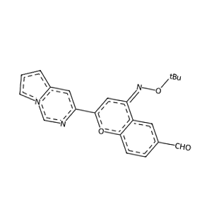 CC(C)(C)O/N=c1/cc(-c2cc3cccn3cn2)oc2ccc(C=O)cc12